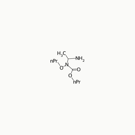 CCCOC(=O)N(OCCC)C(C)N